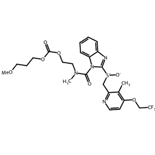 COCCCOC(=O)OCCN(C)C(=O)n1c([S+]([O-])Cc2nccc(OCC(F)(F)F)c2C)nc2ccccc21